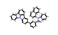 c1cc(-c2ccc3c(c2)c2cccc4c5ccccc5n3c42)cc(-c2nc3ccccc3n2-c2cccc3ccccc23)c1